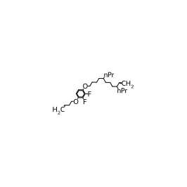 C=CCCOc1ccc(OCCCCC(CCC)CCCC(C=C)CCC)c(F)c1F